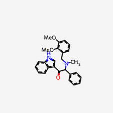 COc1cccc(CN(C)C(C(=O)c2c[nH]c3ccccc23)c2ccccc2)c1OC